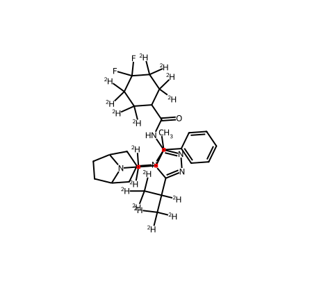 [2H]C([2H])(CC(NC(=O)C1C([2H])([2H])C([2H])([2H])C(F)(F)C([2H])([2H])C1([2H])[2H])c1ccccc1)N1C2CCC1CC(n1c(C)nnc1C([2H])(C([2H])([2H])[2H])C([2H])([2H])[2H])C2